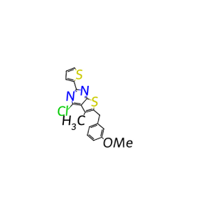 COc1cccc(Cc2sc3nc(-c4cccs4)nc(Cl)c3c2C)c1